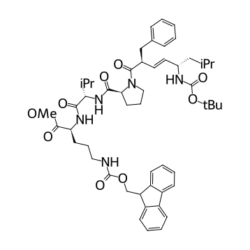 COC(=O)[C@H](CCCNC(=O)OCC1c2ccccc2-c2ccccc21)NC(=O)[C@@H](NC(=O)[C@@H]1CCCN1C(=O)[C@H](/C=C/[C@H](CC(C)C)NC(=O)OC(C)(C)C)Cc1ccccc1)C(C)C